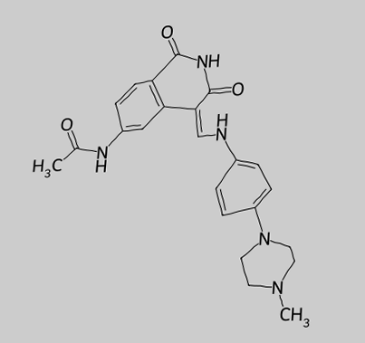 CC(=O)Nc1ccc2c(c1)/C(=C/Nc1ccc(N3CCN(C)CC3)cc1)C(=O)NC2=O